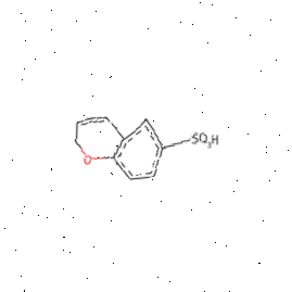 O=S(=O)(O)c1ccc2c(c1)C=CCO2